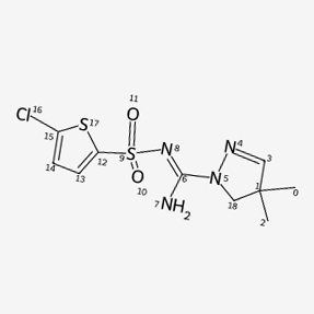 CC1(C)C=NN(/C(N)=N/S(=O)(=O)c2ccc(Cl)s2)C1